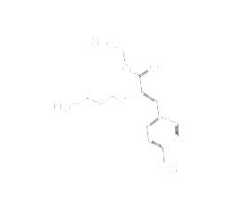 CCCCO/C(=C\c1ccc(O)cc1)C(=O)OCC